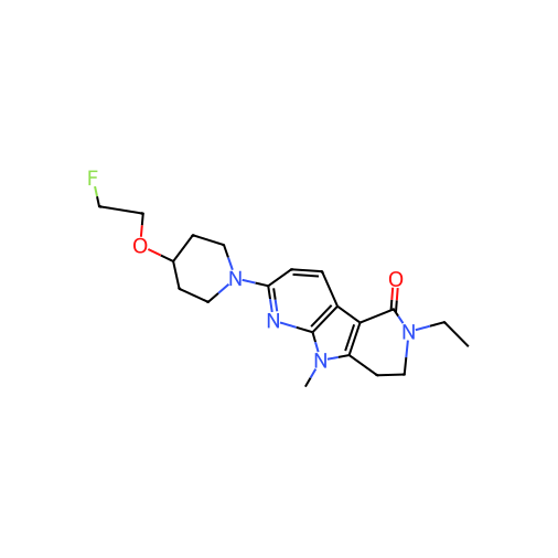 CCN1CCc2c(c3ccc(N4CCC(OCCF)CC4)nc3n2C)C1=O